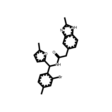 Cc1ccc(C(NC(=O)Cc2ccc3[nH]c(C)nc3c2)c2ccc(C)o2)c(Br)c1